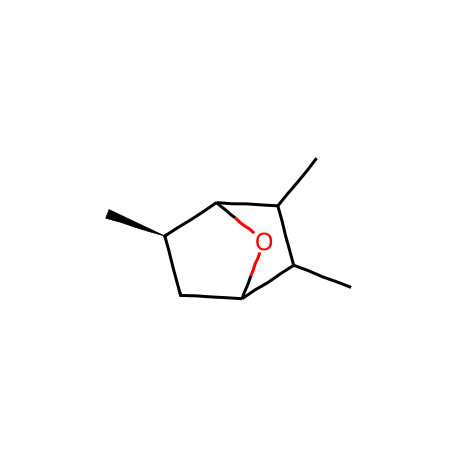 CC1C2C[C@@H](C)C(O2)C1C